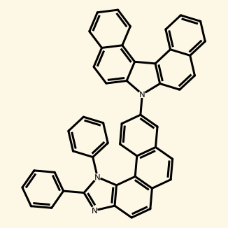 c1ccc(-c2nc3ccc4ccc5cc(-n6c7ccc8ccccc8c7c7c8ccccc8ccc76)ccc5c4c3n2-c2ccccc2)cc1